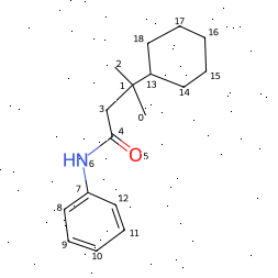 CC(C)(CC(=O)Nc1ccccc1)C1CCCCC1